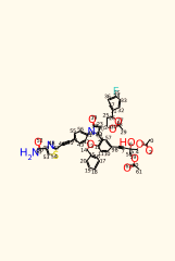 CC(=O)OCC(O)(C#Cc1ccc(OCc2ccccc2)c([C@@H]2[C@@H](CCC(OC(C)=O)c3ccc(F)cc3)C(=O)N2c2ccc(C#Cc3nc(C(N)=O)cs3)cc2)c1)COC(C)=O